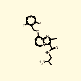 Cc1nc2c(OCc3c(F)cccc3F)cccn2c1C(=O)NCC(C)N